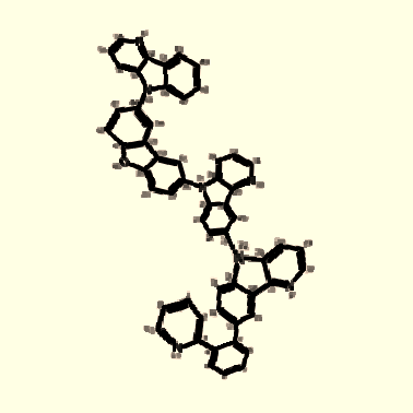 c1ccc(-c2ccccc2-c2ccc3c(c2)c2ncccc2n3-c2ccc3c(c2)c2ncccc2n3-c2ccc3oc4ccc(-n5c6ccccc6c6ncccc65)cc4c3c2)nc1